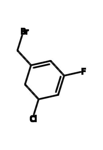 FC1=CC(Cl)CC(CBr)=C1